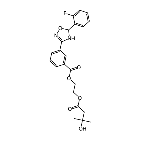 CC(C)(O)CC(=O)OCCOC(=O)c1cccc(C2=NOC(c3ccccc3F)N2)c1